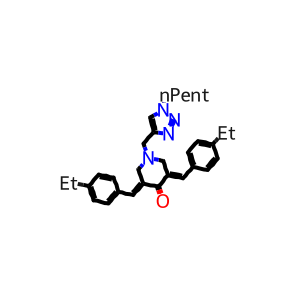 CCCCCn1cc(CN2CC(=Cc3ccc(CC)cc3)C(=O)C(=Cc3ccc(CC)cc3)C2)nn1